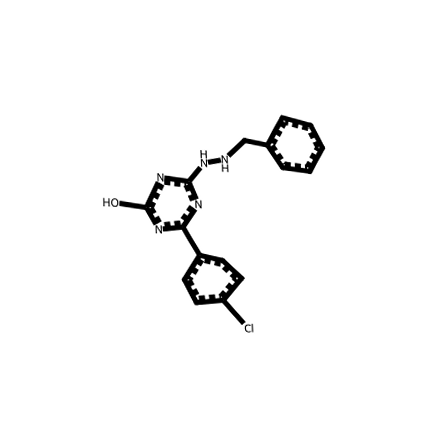 Oc1nc(NNCc2ccccc2)nc(-c2ccc(Cl)cc2)n1